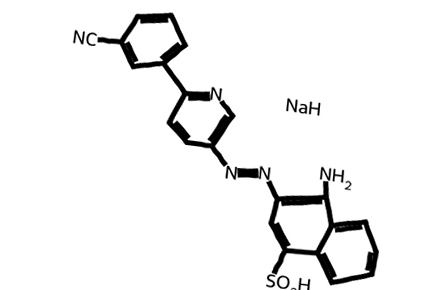 N#Cc1cccc(-c2ccc(/N=N/c3cc(S(=O)(=O)O)c4ccccc4c3N)cn2)c1.[NaH]